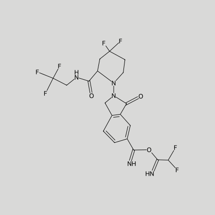 N=C(OC(=N)C(F)F)c1ccc2c(c1)C(=O)N(N1CCC(F)(F)CC1C(=O)NCC(F)(F)F)C2